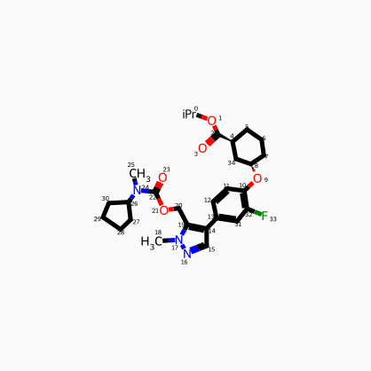 CC(C)OC(=O)[C@H]1CCC[C@H](Oc2ccc(-c3cnn(C)c3COC(=O)N(C)C3CCCC3)cc2F)C1